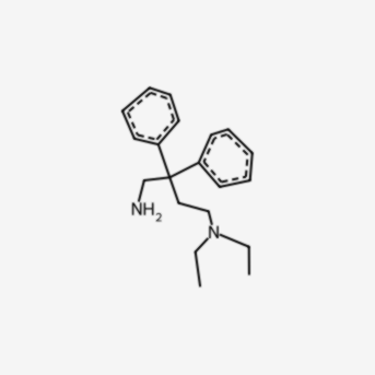 CCN(CC)CCC(CN)(c1ccccc1)c1ccccc1